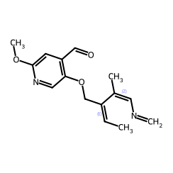 C=N/C=C(C)\C(=C/C)COc1cnc(OC)cc1C=O